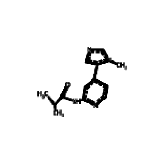 CC(C)C(=O)Nc1cc(-c2cncn2C)ccn1